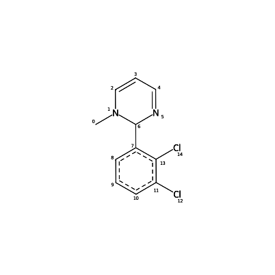 CN1C=CC=NC1c1cccc(Cl)c1Cl